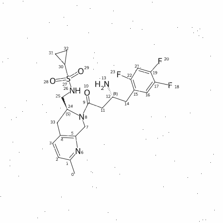 Cc1ccc2c(n1)CN(C(=O)C[C@H](N)Cc1cc(F)c(F)cc1F)[C@H](CNS(=O)(=O)C1CC1)C2